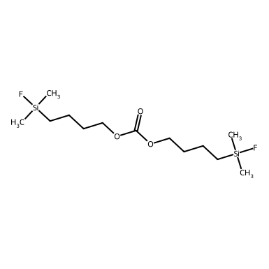 C[Si](C)(F)CCCCOC(=O)OCCCC[Si](C)(C)F